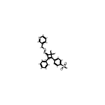 CC1(C)C(c2ccc(S(C)(=O)=O)cc2)=C(c2ccccc2)/C1=N/OCc1cccnc1